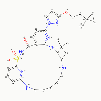 CC1(C)CC2CN1c1nc(-n3ccc(OCCC4(C(F)(F)F)CC4)n3)ccc1C(=O)NS(=O)(=O)c1cccc(n1)NCCCCCN2